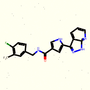 O=C(NCc1ccc(F)c(C(F)(F)F)c1)c1c[nH]c(-c2n[nH]c3ncccc23)c1